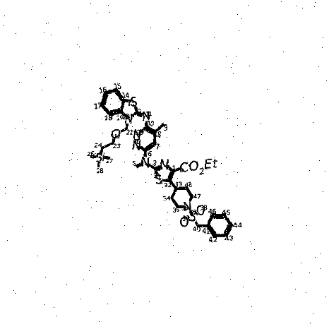 CCOC(=O)c1nc(N(C)c2cc(C)c(N=c3sc4ccccc4n3COCC[Si](C)(C)C)nn2)sc1C1CCN(S(=O)(=O)Cc2ccccc2)CC1